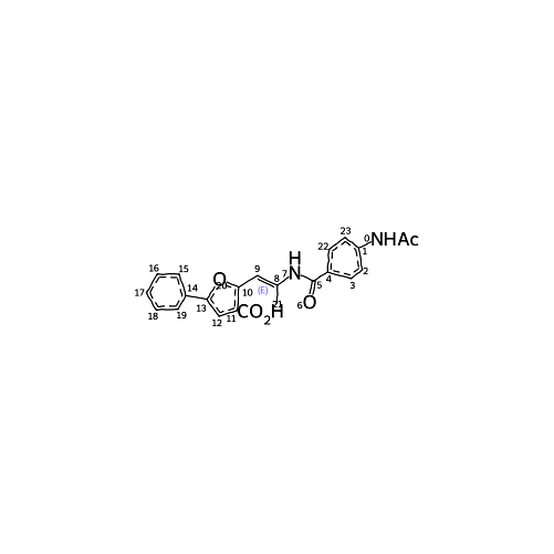 CC(=O)Nc1ccc(C(=O)N/C(=C/c2ccc(-c3ccccc3)o2)C(=O)O)cc1